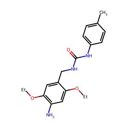 CCOc1cc(CNC(=O)Nc2ccc(C)cc2)c(OCC)cc1N